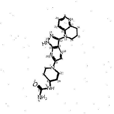 NC(=O)NC1CCN(c2cnc3c(N4CCCc5ncccc54)n[nH]c3n2)CC1